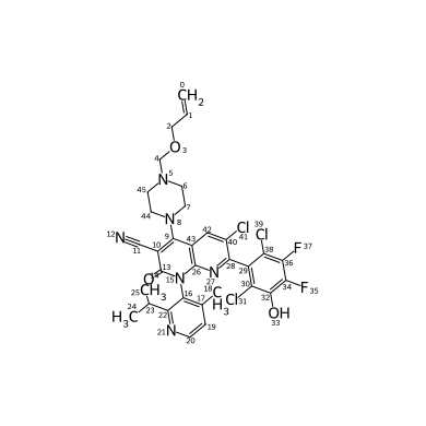 C=CCOCN1CCN(c2c(C#N)c(=O)n(-c3c(C)ccnc3C(C)C)c3nc(-c4c(Cl)c(O)c(F)c(F)c4Cl)c(Cl)cc23)CC1